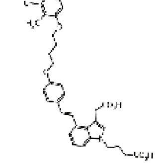 Cc1c(Cl)cccc1OCCCCOc1ccc(C=Cc2cccc3c2c(CC(=O)O)cn3CCCC(=O)O)cc1